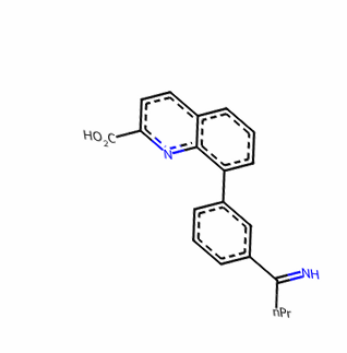 CCCC(=N)c1cccc(-c2cccc3ccc(C(=O)O)nc23)c1